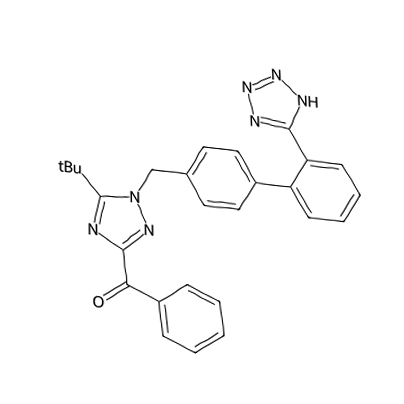 CC(C)(C)c1nc(C(=O)c2ccccc2)nn1Cc1ccc(-c2ccccc2-c2nnn[nH]2)cc1